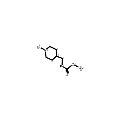 CCN1CCC(CNC(=O)OC(C)(C)C)CC1